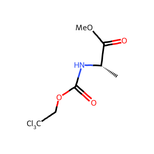 COC(=O)[C@H](C)NC(=O)OCC(Cl)(Cl)Cl